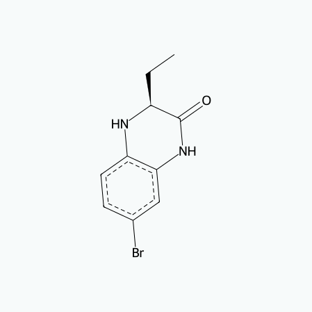 CC[C@@H]1Nc2ccc(Br)cc2NC1=O